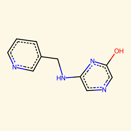 Oc1cncc(NCc2cccnc2)n1